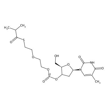 Cc1cn([C@H]2CC(O[PH](=O)OCCOCCSC(=O)C(C)C)[C@@H](CO)O2)c(=O)[nH]c1=O